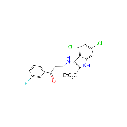 CCOC(=O)c1[nH]c2cc(Cl)cc(Cl)c2c1NCCC(=O)c1cccc(F)c1